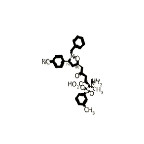 Cc1cccc(S(=O)(=O)[N+](C)(N)[C@@H](CC(=O)C[C@H]2C[C@@H](c3ccc(C#N)cc3)N(Cc3ccccc3)O2)C(=O)O)c1